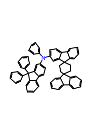 c1ccc(N(c2ccc3c(c2)C2(CCC4(CC2)c2ccccc2-c2ccccc24)c2ccccc2-3)c2ccc3c(c2)C(c2ccccc2)(c2ccccc2)c2ccccc2-3)cc1